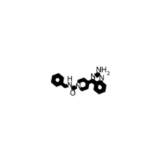 Nc1nc(C2CCN(C(=O)NCc3ccccc3)CC2)c2ccccc2n1